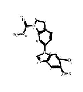 COc1cc2ncn(-c3ccc4c(c3)N(C(=O)OC(C)(C)C)CC4)c2cc1Br